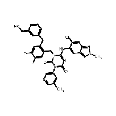 Cc1cncc(-n2c(=O)nc(Nc3cc4cn(C)nc4cc3Cl)n(Cc3cc(F)c(F)cc3Cc3cccc(CO)c3)c2=O)c1